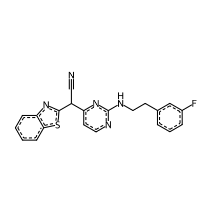 N#CC(c1ccnc(NCCc2cccc(F)c2)n1)c1nc2ccccc2s1